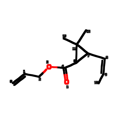 C=CCOC(=O)C1C(/C=C\C)C1(C)C